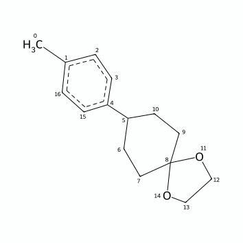 Cc1ccc(C2CCC3(CC2)OCCO3)cc1